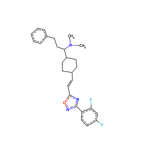 CN(C)C(CCc1ccccc1)C1CCC(C=Cc2nc(-c3ccc(F)cc3F)no2)CC1